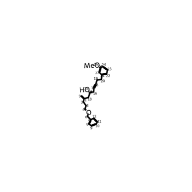 C=C(CCCOCc1ccccc1)C[C@@H](O)CC#CCCc1cccc(OC)c1